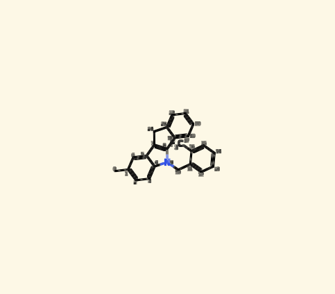 Cc1ccc2c(c1)c1c(n2Cc2ccccc2C(F)(F)F)-c2ccccc2C1